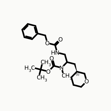 CN(C(=O)OC(C)(C)C)C(CNC(=O)OCc1ccccc1)C[C@@H]1CCCOC1